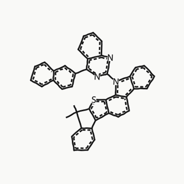 CC1(C)c2ccccc2-c2c1sc1c2ccc2c3ccccc3n(-c3nc(-c4ccc5ccccc5c4)c4ccccc4n3)c21